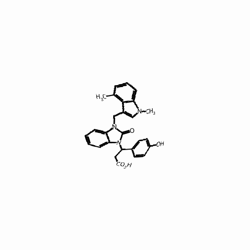 Cc1cccc2c1c(Cn1c(=O)n(C(CC(=O)O)c3ccc(O)cc3)c3ccccc31)cn2C